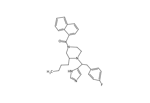 CCCCC1CN(C(=O)c2cccc3ccccc23)CCN1C(Cc1ccc(F)cc1)c1cnc[nH]1